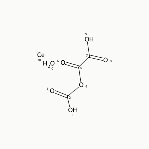 O.O=C(O)OC(=O)C(=O)O.[Ce]